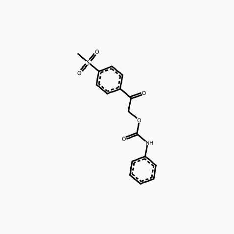 CS(=O)(=O)c1ccc(C(=O)COC(=O)Nc2ccccc2)cc1